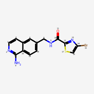 Nc1nccc2cc(CNC(=O)c3nc(Br)cs3)ccc12